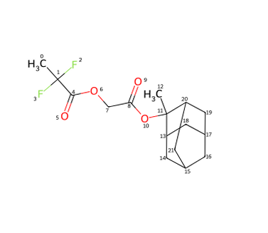 CC(F)(F)C(=O)OCC(=O)OC1(C)C2CC3CC(C2)CC1C3